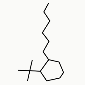 CCCCCC[C]1CCCCC1C(C)(C)C